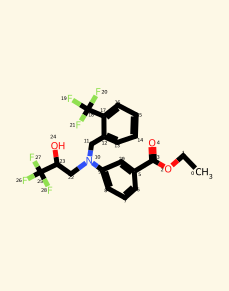 CCOC(=O)c1cccc(N(Cc2ccccc2C(F)(F)F)CC(O)C(F)(F)F)c1